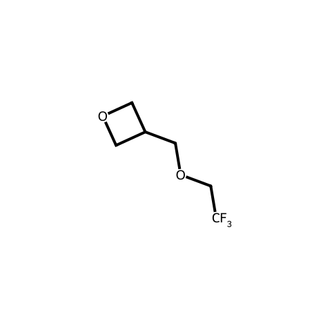 FC(F)(F)COCC1COC1